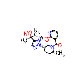 CC(C)Oc1ncccc1C(=O)N1C[C@H](n2ncc(C(C)(C)O)n2)CC[C@H]1C